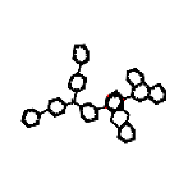 c1ccc(-c2ccc(N(c3ccc(-c4ccccc4)cc3)c3cccc(-c4ccc(-c5cc6ccccc6c6ccccc56)c5c4C4c6ccccc6C5c5ccccc54)c3)cc2)cc1